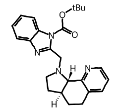 CC(C)(C)OC(=O)n1c(CN2CC[C@@H]3CCc4cccnc4[C@H]32)nc2ccccc21